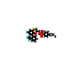 Cc1ccc(S(=O)(=O)OCC2CSc3cc(F)cc(-c4ccccc4C(F)(F)F)c3O2)cc1